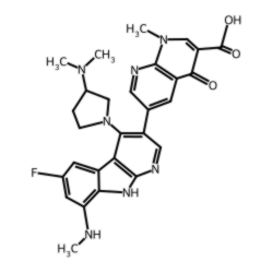 CNc1cc(F)cc2c1[nH]c1ncc(-c3cnc4c(c3)c(=O)c(C(=O)O)cn4C)c(N3CCC(N(C)C)C3)c12